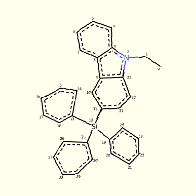 CCn1c2ccccc2c2cc([Si](c3ccccc3)(c3ccccc3)c3ccccc3)ccc21